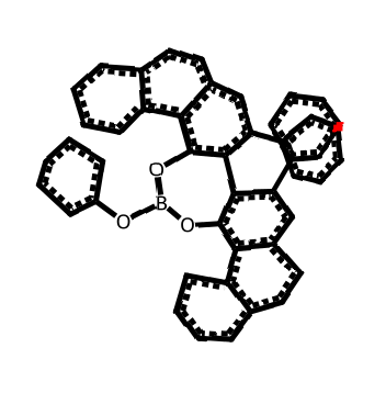 c1ccc(OB2Oc3c(c(-c4ccccc4)cc4ccc5ccccc5c34)-c3c(-c4ccccc4)cc4ccc5ccccc5c4c3O2)cc1